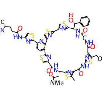 CNC(=O)C[C@@H]1NC(=O)c2csc(n2)-c2ccc(-c3nc(NC(=O)CC[C@H](N)C(=O)O)cs3)nc2-c2csc(n2)-c2csc(n2)[C@H]([C@@H](O)c2ccccc2)NC(=O)CNC(=O)c2nc(sc2COC)NC(=O)c2nc1sc2C